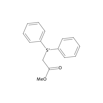 COC(=O)C[S+](c1ccccc1)c1ccccc1